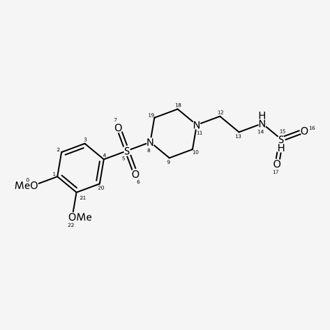 COc1ccc(S(=O)(=O)N2CCN(CCN[SH](=O)=O)CC2)cc1OC